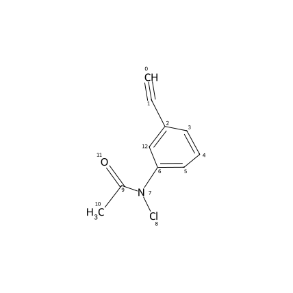 C#Cc1cccc(N(Cl)C(C)=O)c1